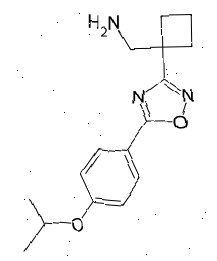 CC(C)Oc1ccc(-c2nc(C3(CN)CCC3)no2)cc1